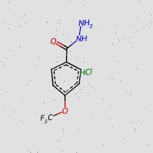 Cl.NNC(=O)c1ccc(OC(F)(F)F)cc1